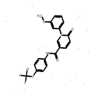 COc1cccc(-n2cc(C(=O)Nc3ccc(OC(F)(F)Cl)cc3)ccc2=O)c1